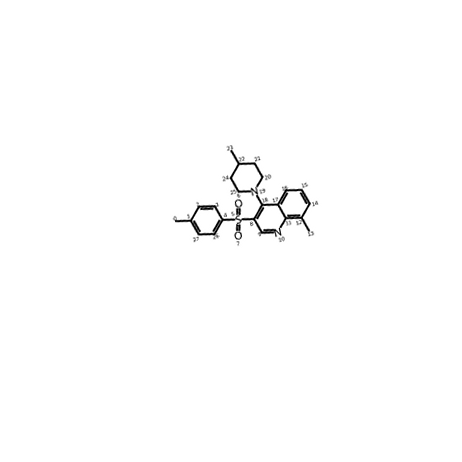 Cc1ccc(S(=O)(=O)c2cnc3c(C)cccc3c2N2CCC(C)CC2)cc1